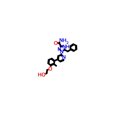 Cc1c(OCCO)cccc1-c1ccnc(N2N=C(C(N)=O)NC2Cc2ccccc2)c1